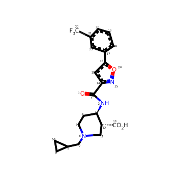 O=C(N[C@@H]1CCN(CC2CC2)C[C@H]1C(=O)O)c1cc(-c2cccc(C(F)(F)F)c2)on1